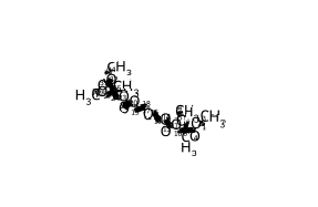 CCOC(=O)C(C)(COC)COC(=O)OCCOCCOC(=O)OCC(C)(COC)C(=O)OCC